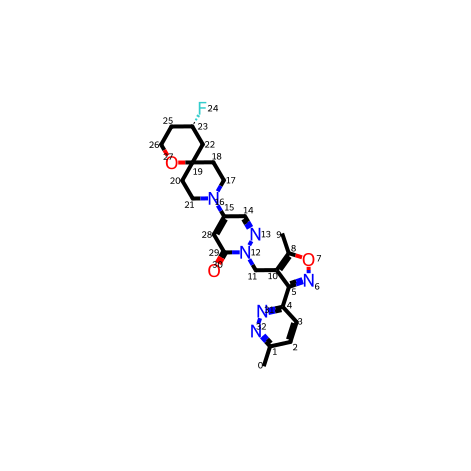 Cc1ccc(-c2noc(C)c2Cn2ncc(N3CCC4(CC3)C[C@@H](F)CCO4)cc2=O)nn1